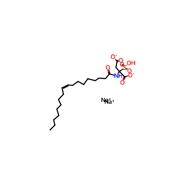 CCCCCCCC/C=C\CCCCCCCC(=O)NC(CC(=O)[O-])(C(=O)[O-])S(=O)(=O)O.[Na+].[Na+]